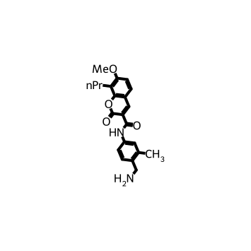 CCCc1c(OC)ccc2cc(C(=O)Nc3ccc(CN)c(C)c3)c(=O)oc12